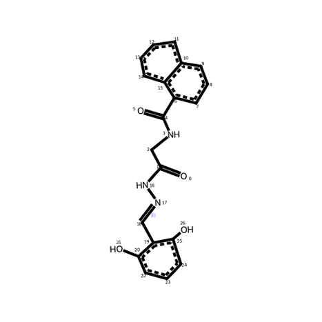 O=C(CNC(=O)c1cccc2ccccc12)N/N=C/c1c(O)cccc1O